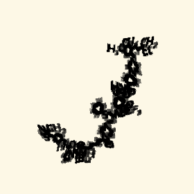 C=C(CC)CCC1=C(CN2CCN(c3ccc(C(=O)NS(=O)(=O)c4ccc(N[C@H](CCN5CCN(C(=O)CCCCC(=O)N[C@H](C(=O)N6CCC[C@H]6C(=O)NCc6ccc(-c7scnc7C)cc6)C(C)(C)C)CC5)CSc5ccccc5)c(S(=O)(=O)C(F)(F)F)c4)cc3)CC2)CCC(C)(C)C1